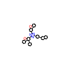 c1ccc(-c2cc(-c3nc(-c4ccc(-c5ccc6ccccc6c5)cc4)nc(-c4ccc5oc6ccccc6c5c4)n3)cc3oc4ccccc4c23)cc1